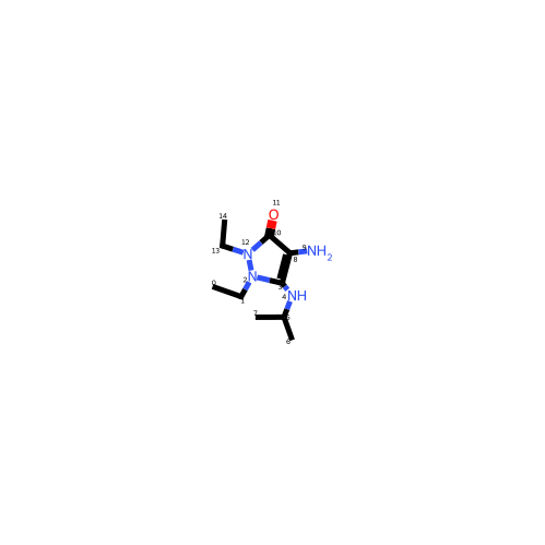 CCn1c(NC(C)C)c(N)c(=O)n1CC